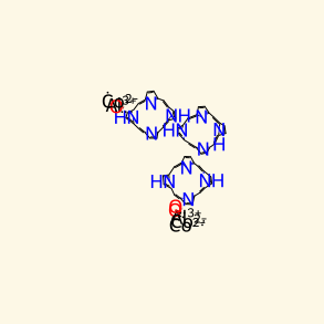 C1=Cc2cc3ccc(cc4nc(cc5ccc(cc1n2)[nH]5)C=C4)[nH]3.C1=Cc2cc3ccc(cc4nc(cc5ccc(cc1n2)[nH]5)C=C4)[nH]3.C1=Cc2cc3ccc(cc4nc(cc5ccc(cc1n2)[nH]5)C=C4)[nH]3.[Al+3].[Al+3].[C]=O.[C]=O.[C]=O.[Co-2].[Co-2].[Co-2]